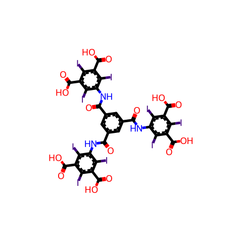 O=C(Nc1c(I)c(C(=O)O)c(I)c(C(=O)O)c1I)c1cc(C(=O)Nc2c(I)c(C(=O)O)c(I)c(C(=O)O)c2I)cc(C(=O)Nc2c(I)c(C(=O)O)c(I)c(C(=O)O)c2I)c1